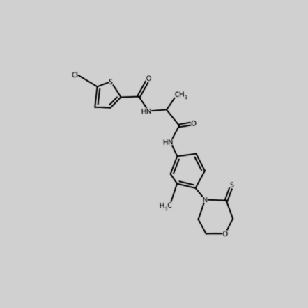 Cc1cc(NC(=O)C(C)NC(=O)c2ccc(Cl)s2)ccc1N1CCOCC1=S